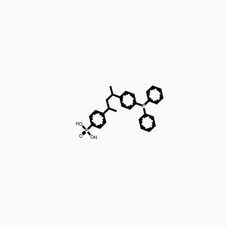 CC(CC(C)c1ccc(P(=O)(O)O)cc1)c1ccc(P(c2ccccc2)c2ccccc2)cc1